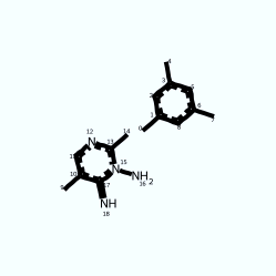 Cc1cc(C)cc(C)c1.Cc1cnc(C)n(N)c1=N